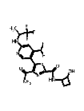 C[C@H](Nc1cc(C(F)F)c(-c2sc(C(=O)NC3CCC3O)nc2C(N)=O)cn1)C(F)(F)F